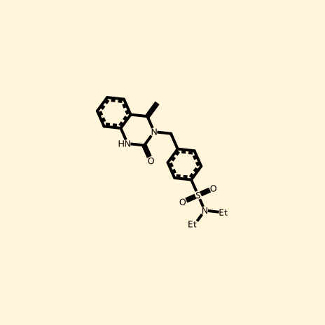 C=C1c2ccccc2NC(=O)N1Cc1ccc(S(=O)(=O)N(CC)CC)cc1